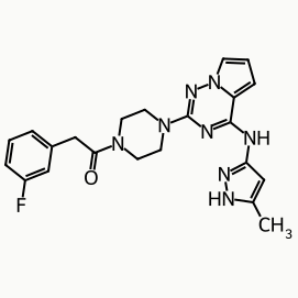 Cc1cc(Nc2nc(N3CCN(C(=O)Cc4cccc(F)c4)CC3)nn3cccc23)n[nH]1